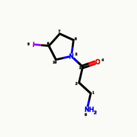 NCCC(=O)N1CCC(I)C1